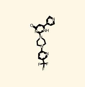 O=c1cc(-c2ccncc2)[nH]c(N2CCN(c3ccc(C(F)(F)F)cn3)CC2)n1